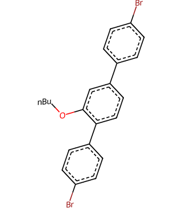 CCCCOc1cc(-c2ccc(Br)cc2)ccc1-c1ccc(Br)cc1